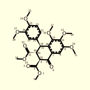 COC(=O)[C@@H]1C(=O)c2cc(OC)c(OC)c(OC)c2[C@H](c2ccc(OC)c(OC)c2)[C@H]1C(=O)OC